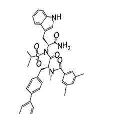 Cc1cc(C)cc(C(=O)N(C)[C@@H](Cc2ccc(-c3ccccc3)cc2)C(=O)N([C@@H](Cc2c[nH]c3ccccc23)C(N)=O)S(=O)(=O)C(C)C)c1